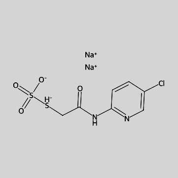 O=C(C[SH-]S(=O)(=O)[O-])Nc1ccc(Cl)cn1.[Na+].[Na+]